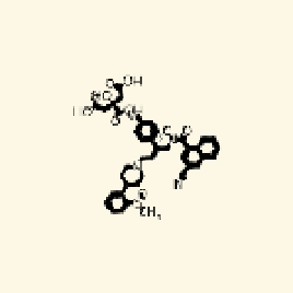 CN(CC(CCN1CCC(c2ccccc2[S@+](C)[O-])CC1)c1ccc(Cl)cc1)C(=O)c1cc(C#N)cc2ccccc12.O=C(O)CC(O)(CC(=O)O)C(=O)O